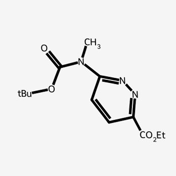 CCOC(=O)c1ccc(N(C)C(=O)OC(C)(C)C)nn1